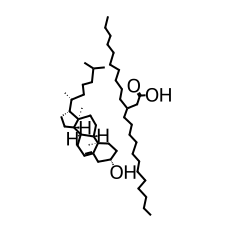 CC(C)CCC[C@@H](C)[C@H]1CC[C@H]2[C@@H]3CC=C4C[C@@H](O)CC[C@]4(C)[C@H]3CC[C@]12C.CCCCCCCCCCCCC(CCCCCCCCCC)CC(=O)O